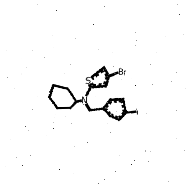 Brc1csc(N(Cc2ccc(I)cc2)C2CCCCC2)c1